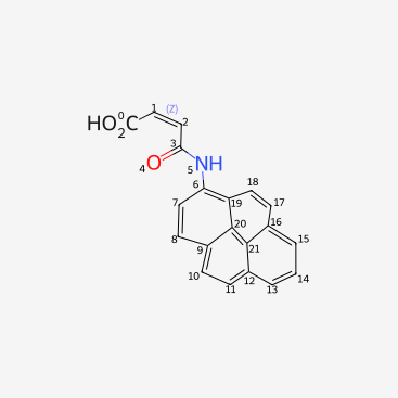 O=C(O)/C=C\C(=O)Nc1ccc2ccc3cccc4ccc1c2c34